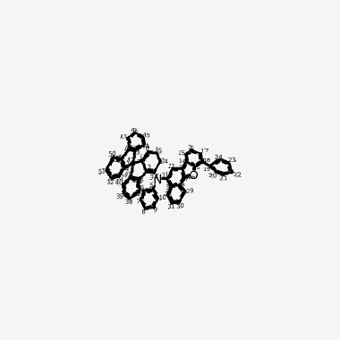 C1=C2C(=C(N(c3ccccc3)c3cc4c5cccc(-c6ccccc6)c5oc4c4ccccc34)CC1)c1ccccc1C21c2ccccc2-c2ccccc21